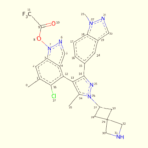 Cc1cc2c(cnn2OC(=O)C(F)(F)F)c(-c2c(-c3ccc4c(cnn4C)c3)nn(C3CC4(CNC4)C3)c2C)c1Cl